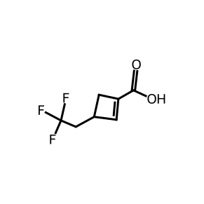 O=C(O)C1=CC(CC(F)(F)F)C1